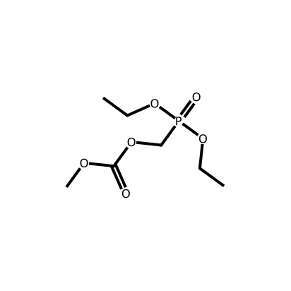 CCOP(=O)(COC(=O)OC)OCC